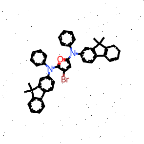 CC1(C)C2=C(C=CCC2)c2ccc(N(c3ccccc3)c3cc(Br)c(N(c4ccccc4)c4ccc5c(c4)C(C)(C)c4ccccc4-5)o3)cc21